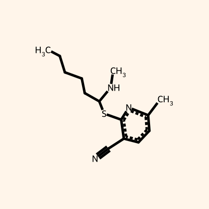 CCCCCC(NC)Sc1nc(C)ccc1C#N